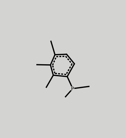 Cc1ccc(P(C)C)c(C)c1C